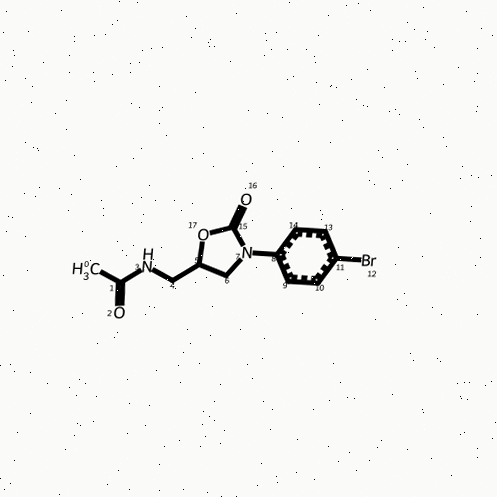 CC(=O)NCC1CN(c2ccc(Br)cc2)C(=O)O1